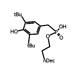 CCCCCCCCCCCCOP(=O)(O)Cc1cc(C(C)(C)C)c(O)c(C(C)(C)C)c1